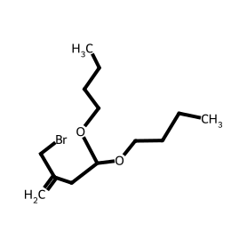 C=C(CBr)CC(OCCCC)OCCCC